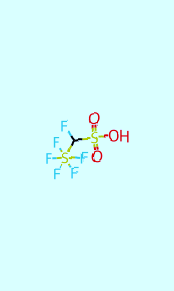 O=S(=O)(O)C(F)S(F)(F)(F)(F)F